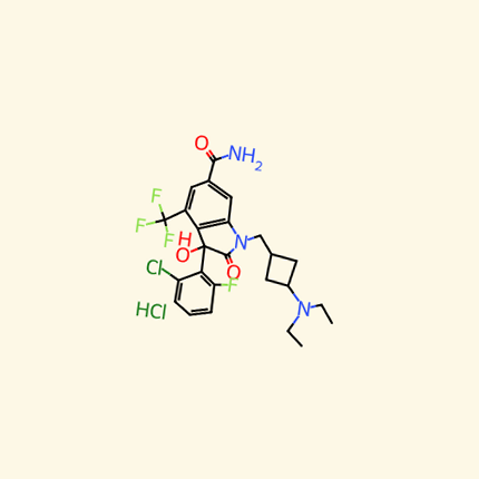 CCN(CC)C1CC(CN2C(=O)C(O)(c3c(F)cccc3Cl)c3c2cc(C(N)=O)cc3C(F)(F)F)C1.Cl